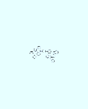 c1ccc(N(c2ccc(-c3cccc4c3-c3ccccc3C43c4ccc5ccccc5c4Oc4c3ccc3ccccc43)cc2)c2cccc3c2-c2ccccc2C3(c2ccccc2)c2ccccc2)cc1